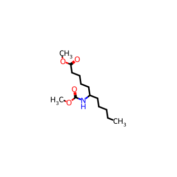 CCCCCC(CCCCC(=O)OC)NC(=O)OC